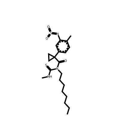 CCCCCCCCN(C(=O)C1(c2ccc(C)c(N=S(=O)=O)c2)CC1)C(=S)NC